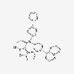 C1=C(N(c2ccc(-c3ccccc3)cc2)c2ccc(-c3cccc4ccccc34)cc2)c2c(oc3ccccc23)NC1